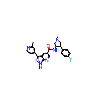 Cc1cc(-c2n[nH]c3ncc(C(=O)NC4CN(C)CC4c4ccc(F)cc4)cc23)ccn1